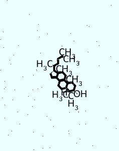 CC(C)CC[C@@H](C)[C@H]1CC=C2C3=C(CC[C@@]21C)[C@@]1(C)CC[C@H](O)C(C)(C)[C@@H]1CC3